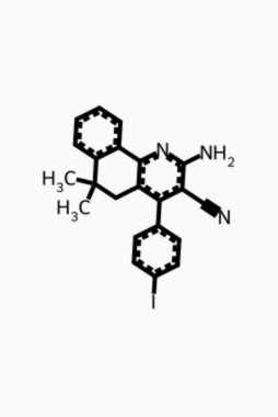 CC1(C)Cc2c(nc(N)c(C#N)c2-c2ccc(I)cc2)-c2ccccc21